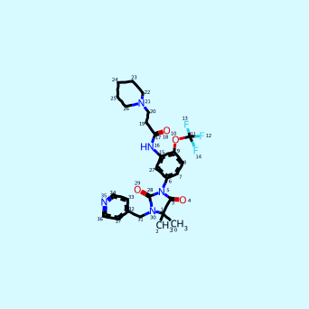 CC1(C)C(=O)N(c2ccc(OC(F)(F)F)c(NC(=O)CCN3CCCCC3)c2)C(=O)N1Cc1ccncc1